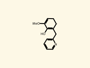 COC1=CC[CH]C(Cc2ccccn2)=C1O